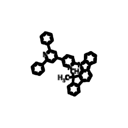 CC1(C)c2ccccc2-c2ccc3c4ccccc4n(-c4ccc(-c5cc(-c6ccccc6)nc(-c6ccccc6)c5)cn4)c3c21